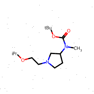 CC(C)OCCN1CCC(N(C)C(=O)OC(C)(C)C)C1